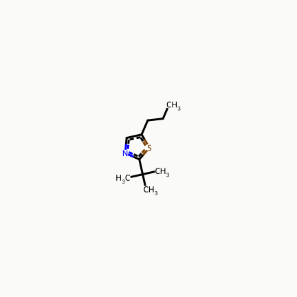 CCCc1cnc(C(C)(C)C)s1